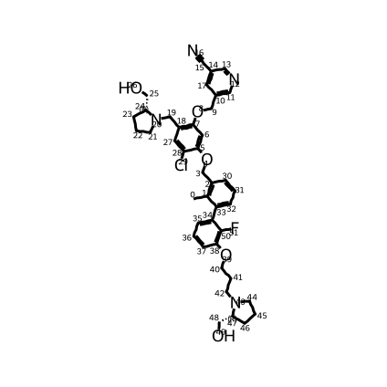 Cc1c(COc2cc(OCc3cncc(C#N)c3)c(CN3CCC[C@@H]3CO)cc2Cl)cccc1-c1cccc(OCCCN2CCC[C@@H]2CO)c1F